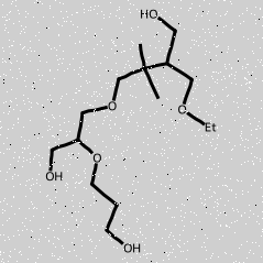 CCOCC(CO)C(C)(C)COCC(CO)OCCCO